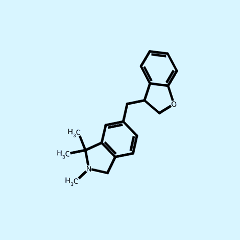 CN1Cc2ccc(CC3COc4ccccc43)cc2C1(C)C